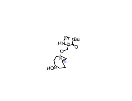 CC(C)N[C@H](CO[C@@H]1/C=C/CC[C@@H](O)CC1)C(=O)C(C)(C)C